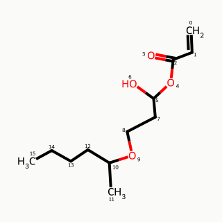 C=CC(=O)OC(O)CCOC(C)CCCC